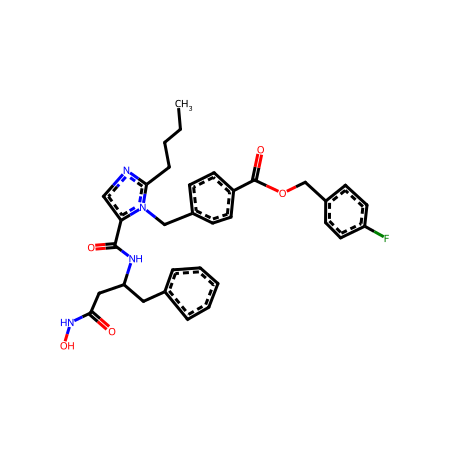 CCCCc1ncc(C(=O)NC(CC(=O)NO)Cc2ccccc2)n1Cc1ccc(C(=O)OCc2ccc(F)cc2)cc1